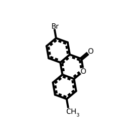 Cc1ccc2c(c1)oc(=O)c1cc(Br)ccc12